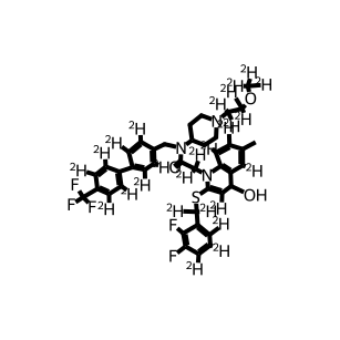 [2H]C1=C(SC([2H])([2H])c2c([2H])c([2H])c([2H])c(F)c2F)N(C([2H])([2H])C(=O)N(Cc2c([2H])c([2H])c(-c3c([2H])c([2H])c(C(F)(F)F)c([2H])c3[2H])c([2H])c2[2H])C2CCN(C([2H])([2H])C([2H])([2H])OC([2H])([2H])[2H])CC2)c2c([2H])c([2H])c(C)c([2H])c2C1O